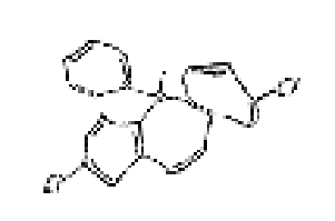 C[Si]1(c2ccccc2)c2ccc(Cl)cc2C=Cc2cc(Cl)ccc21